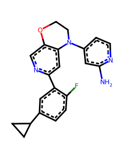 Nc1cc(N2CCOc3cnc(-c4cc(C5CC5)ccc4F)cc32)ccn1